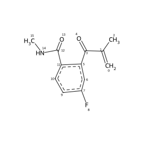 C=C(C)C(=O)c1cc(F)ccc1C(=O)NC